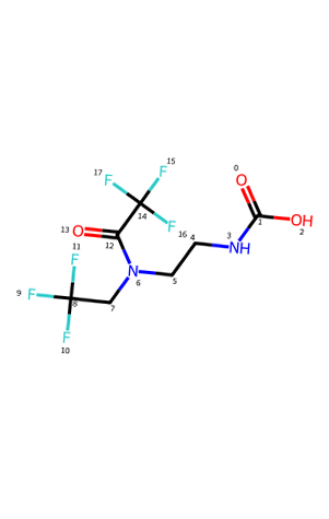 O=C(O)NCCN(CC(F)(F)F)C(=O)C(F)(F)F